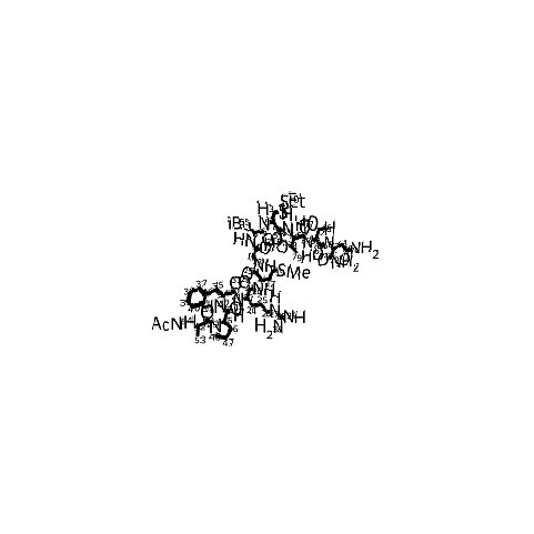 CCSSCC(NC(=O)C(NC(=O)CNC(=O)C(CCSC)NC(=O)C(CCCNC(=N)N)NC(=O)C(Cc1ccccc1)NC(=O)C1CCCN1C(=O)C(C)NC(C)=O)C(C)CC)C(=O)NC(C(=O)NC(C(=O)NC(CC(N)=O)C(N)=O)C(C)O)C(C)O